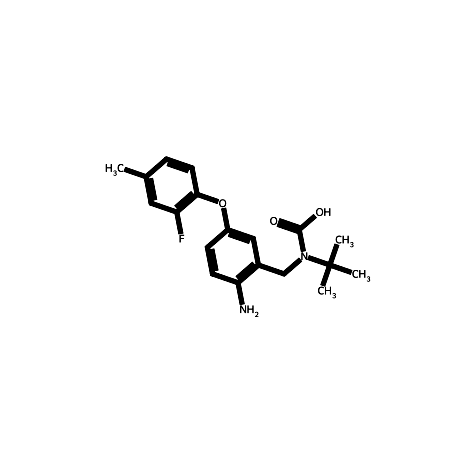 Cc1ccc(Oc2ccc(N)c(CN(C(=O)O)C(C)(C)C)c2)c(F)c1